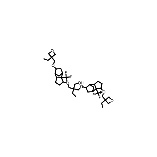 CCC1(COC2CC3CC2C2CCC(OCC(CC)(CO)COC4CC5CC4C4CCC(OCC6(CC)COC6)C54C(F)(F)F)C32C(F)(F)F)COC1